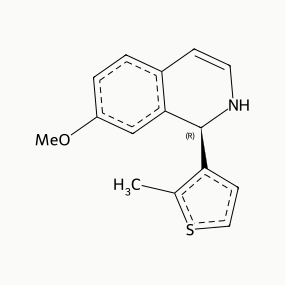 COc1ccc2c(c1)[C@H](c1ccsc1C)NC=C2